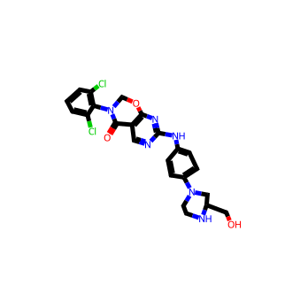 O=C1c2cnc(Nc3ccc(N4CCNC(CO)C4)cc3)nc2OCN1c1c(Cl)cccc1Cl